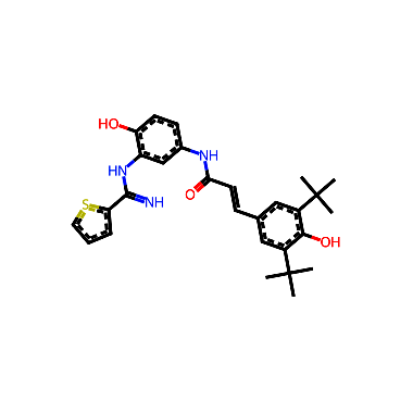 CC(C)(C)c1cc(C=CC(=O)Nc2ccc(O)c(NC(=N)c3cccs3)c2)cc(C(C)(C)C)c1O